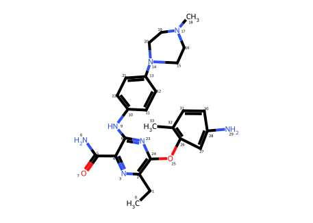 CCc1nc(C(N)=O)c(Nc2ccc(N3CCN(C)CC3)cc2)nc1Oc1cc(N)ccc1C